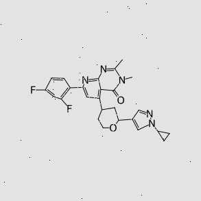 Cc1nc2nc(-c3ccc(F)cc3F)cc(C3CCOC(c4cnn(C5CC5)c4)C3)c2c(=O)n1C